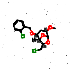 CO[C@@H]1C[C@H](OCc2ccccc2Cl)[C@@H]2OC1O[C@H]2CCl